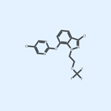 FC(F)(F)OCCn1nc(Cl)c2cccc(Oc3ncc(Cl)cn3)c21